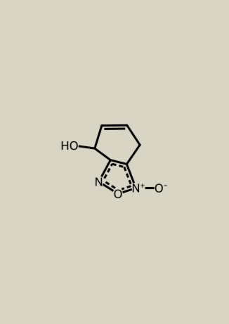 [O-][n+]1onc2c1CC=CC2O